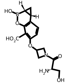 N[C@@H](CO)C(=O)N1CC(Oc2ccc3c(c2C(=O)O)OB(O)[C@@H]2C[C@H]32)C1